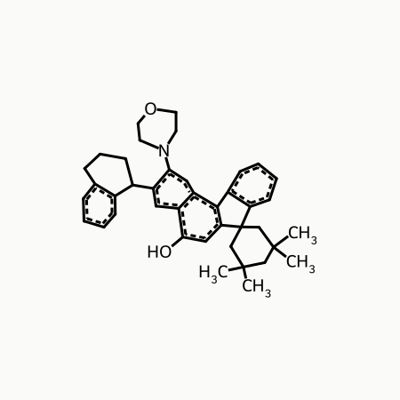 CC1(C)CC(C)(C)CC2(C1)c1ccccc1-c1c2cc(O)c2cc(C3CCCc4ccccc43)c(N3CCOCC3)cc12